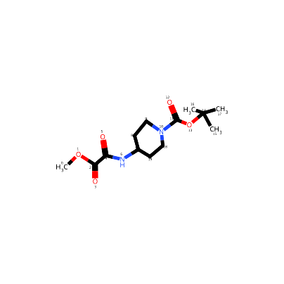 COC(=O)C(=O)NC1CCN(C(=O)OC(C)(C)C)CC1